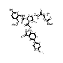 COCc1ccc(Br)nc1NC(=O)[C@@H]1C[C@H](CNC(=O)[C@@H](NC(=O)OC)C(C)C)[C@@H](I)N1C(=O)Cn1nc(C(C)=O)c2cc(-c3cnc(C)nc3)ccc21